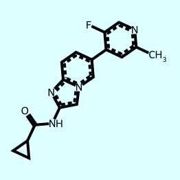 Cc1cc(-c2ccc3nc(NC(=O)C4CC4)cn3c2)c(F)cn1